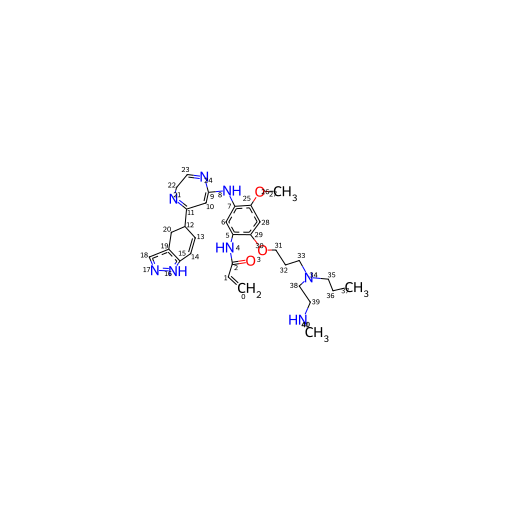 C=CC(=O)Nc1cc(NC2=CC(C3C=Cc4[nH]ncc4C3)=NCC=N2)c(OC)cc1OCCCN(CCC)CCNC